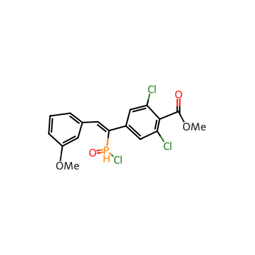 COC(=O)c1c(Cl)cc(C(=Cc2cccc(OC)c2)[PH](=O)Cl)cc1Cl